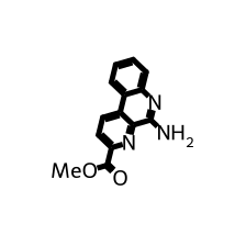 COC(=O)c1ccc2c(n1)c(N)nc1ccccc12